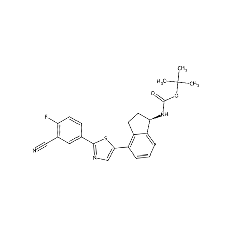 CC(C)(C)OC(=O)N[C@@H]1CCc2c(-c3cnc(-c4ccc(F)c(C#N)c4)s3)cccc21